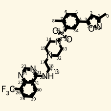 Cc1cc(-c2ccc(C)c(S(=O)(=O)N3CCN(C[C@H](C)Nc4ncnc5c(C(F)(F)F)cccc45)CC3)c2)on1